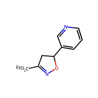 CCOC(=O)C1=NOC(c2cccnc2)C1